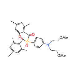 COCCN(CCOC)c1ccc(P(=O)(C(=O)c2c(C)cc(C)cc2C)C(=O)c2c(C)cc(C)cc2C)cc1